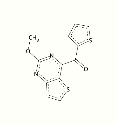 COc1nc(C(=O)c2cccs2)c2sccc2n1